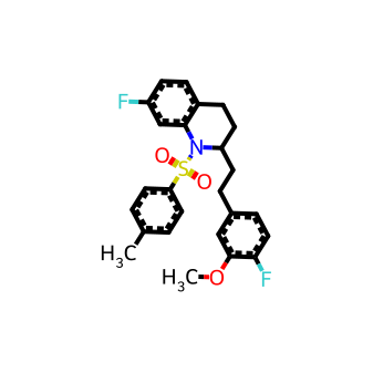 COc1cc(CCC2CCc3ccc(F)cc3N2S(=O)(=O)c2ccc(C)cc2)ccc1F